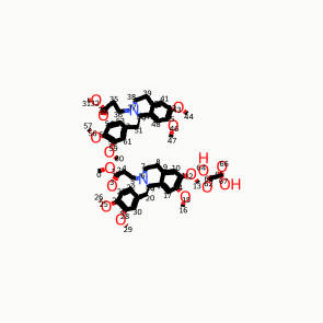 COC(=O)CCN1CCc2cc(OC)c(OC)cc2[C@H]1Cc1ccc(OC)c(OC)c1.COC(=O)CCN1CCc2cc(OC)c(OC)cc2[C@H]1Cc1ccc(OC)c(OC)c1.O=C(O)C(=O)O